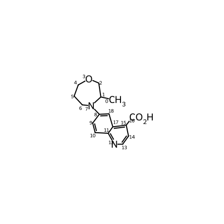 CC1COCCCN1c1ccc2nccc(C(=O)O)c2c1